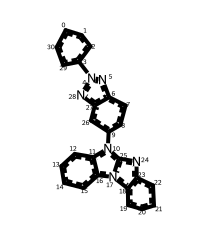 c1ccc(-n2nc3ccc(-n4c5ccccc5n5c6ccccc6nc45)cc3n2)cc1